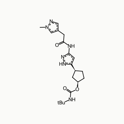 Cn1cc(CC(=O)Nc2cc([C@H]3CC[C@@H](OC(=O)NC(C)(C)C)C3)[nH]n2)cn1